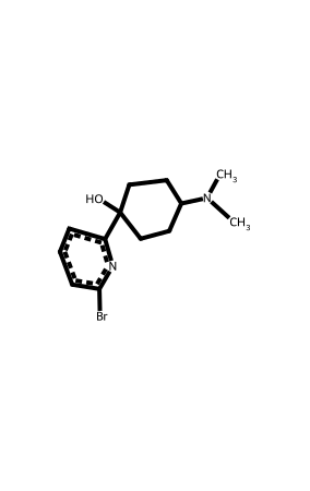 CN(C)C1CCC(O)(c2cccc(Br)n2)CC1